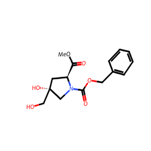 COC(=O)[C@@H]1C[C@](O)(CO)CN1C(=O)OCc1ccccc1